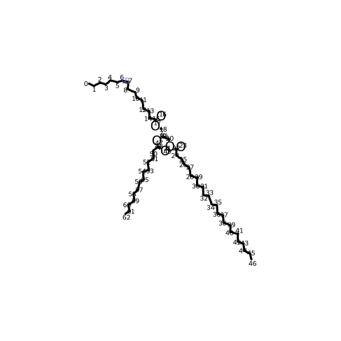 CCCCCC/C=C\CCCCCCCC(=O)OC[C@H](COC(=O)CCCCCCCCCCCCCCCCCCCCCCC)OC(=O)CCCCCCCCCCCCC